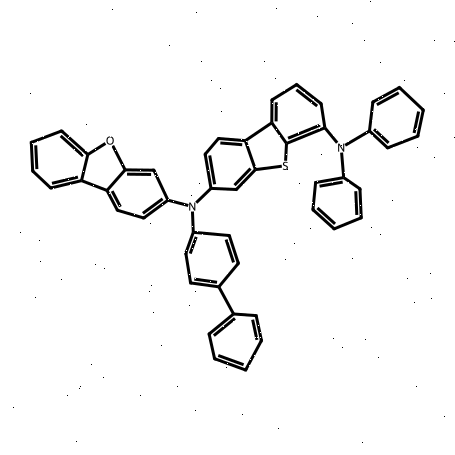 c1ccc(-c2ccc(N(c3ccc4c(c3)oc3ccccc34)c3ccc4c(c3)sc3c(N(c5ccccc5)c5ccccc5)cccc34)cc2)cc1